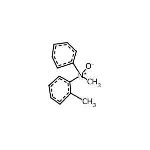 Cc1ccccc1[N+](C)([O-])c1ccccc1